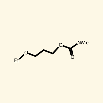 CCOCCCOC(=O)NC